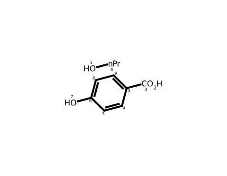 CCCO.O=C(O)c1ccc(O)cc1